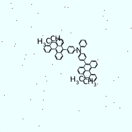 CC1(C)c2ccccc2-c2c3ccccc3c(-c3ccc(N(c4ccccc4)c4ccc(-c5c6ccccc6c6c7c(cccc57)C(C)(C)c5ccccc5-6)cc4)cc3)c3cccc1c23